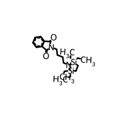 CC[Si]1(CC)CC[Si](CC)(CC)N1CCCCN1C(=O)c2ccccc2C1=O